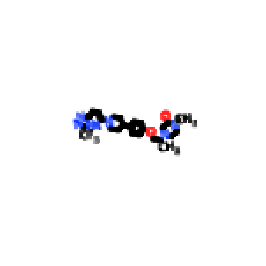 CC(COc1ccc(C2CCN(c3ccc4nnc(C(F)(F)F)n4n3)CC2)cc1)N1CCN(C)C(=O)C1